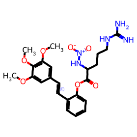 COc1cc(/C=C/c2ccccc2OC(=O)C(CCCNC(=N)N)N[N+](=O)[O-])cc(OC)c1OC